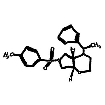 Cc1ccc(S(=O)(=O)N2C[C@H]3OCCN(C(C)c4ccccc4)[C@H]3C2)cc1